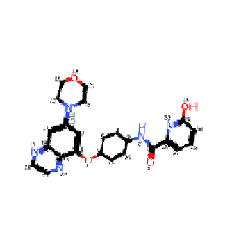 O=C(NC1CCC(Oc2cc(N3CCOCC3)cc3nccnc23)CC1)c1cccc(O)n1